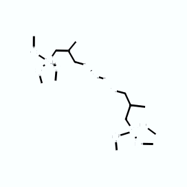 CO[Si](CC(C)CSSSSCC(C)C[Si](OC)(OC)OC)(OC)OC